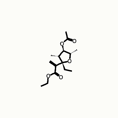 C=C(C(=O)OCC)[C@@]1(CC)O[C@@H](C)[C@H](OC(C)=O)[C@H]1C